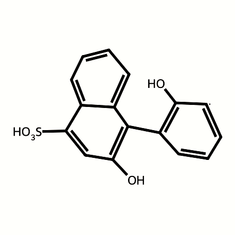 O=S(=O)(O)c1cc(O)c(-c2ccc[c]c2O)c2ccccc12